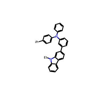 CCn1c2ccccc2c2ccc(-c3cccc(N(c4ccccc4)c4ccc(C(C)C)cc4)c3)cc21